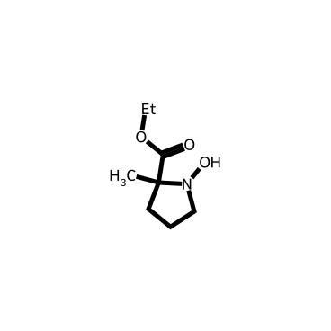 CCOC(=O)C1(C)CCCN1O